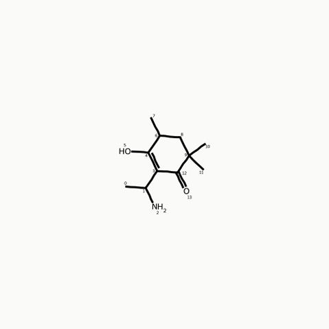 CC(N)C1=C(O)C(C)CC(C)(C)C1=O